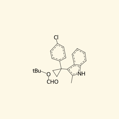 CC(C)(C)OC=O.Cc1[nH]c2ccccc2c1C1(c2ccc(Cl)cc2)CC1